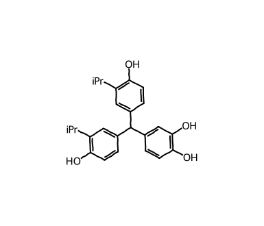 CC(C)c1cc(C(c2ccc(O)c(O)c2)c2ccc(O)c(C(C)C)c2)ccc1O